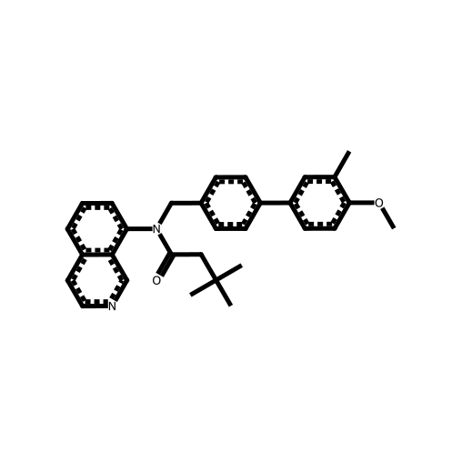 COc1ccc(-c2ccc(CN(C(=O)CC(C)(C)C)c3cccc4ccncc34)cc2)cc1C